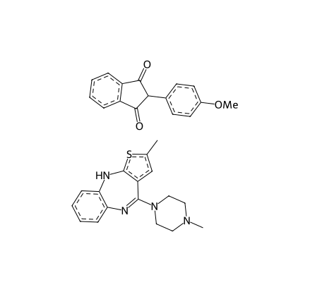 COc1ccc(C2C(=O)c3ccccc3C2=O)cc1.Cc1cc2c(s1)Nc1ccccc1N=C2N1CCN(C)CC1